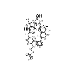 COC(=O)CCCc1ccc(CC(=O)N[C@H](C(=O)N2C[C@H](O)C[C@H]2C(=O)N[C@@H](C)c2ccc(-c3scnc3C)cc2)C(C)(C)C)cc1